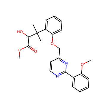 COC(=O)C(O)C(C)(C)c1ccccc1OCc1ccnc(-c2ccccc2OC)n1